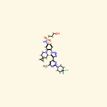 Cc1cc(-c2cn(-c3ccc(NS(=O)(=O)CCCO)cc3N3CCC4(CC3)CC4)nn2)nc(N2CCC(F)(F)CC2)n1